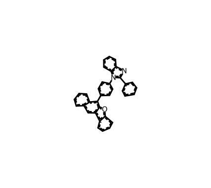 c1ccc(-c2nc3ccccc3n2-c2ccc(-c3c4ccccc4cc4c3oc3ccccc34)cc2)cc1